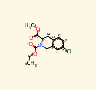 CCOC(=O)N1Cc2cc(Cl)ccc2CC1C(=O)OC